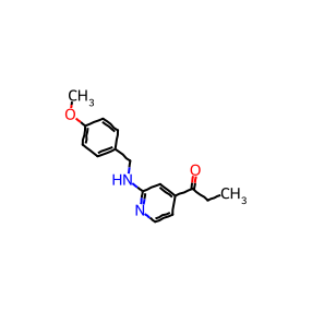 CCC(=O)c1ccnc(NCc2ccc(OC)cc2)c1